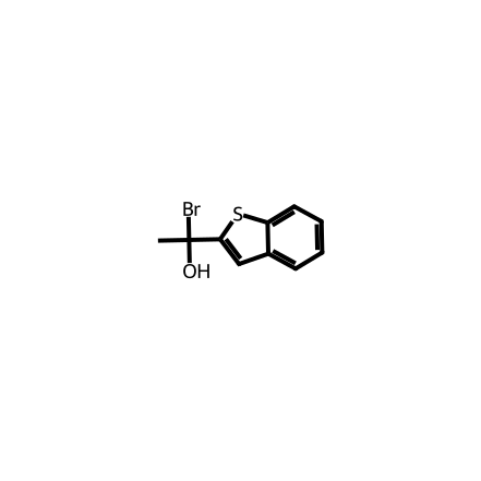 CC(O)(Br)c1cc2ccccc2s1